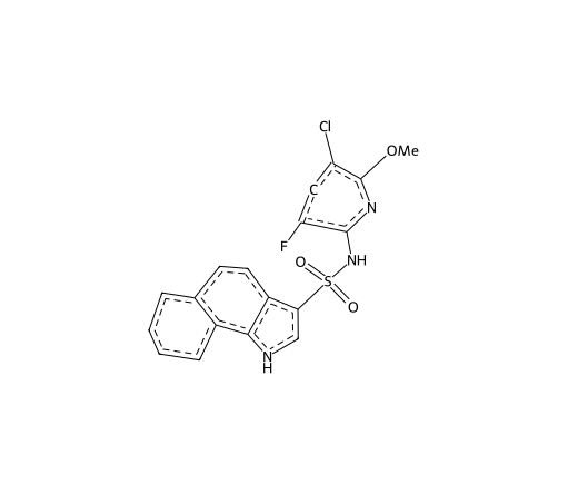 COc1nc(NS(=O)(=O)c2c[nH]c3c2ccc2ccccc23)c(F)cc1Cl